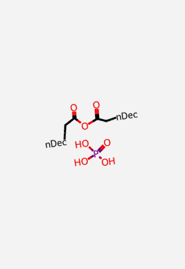 CCCCCCCCCCCC(=O)OC(=O)CCCCCCCCCCC.O=P(O)(O)O